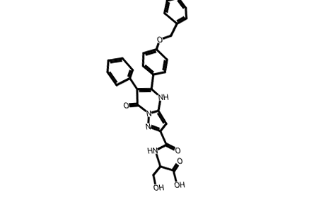 O=C(NC(CO)C(=O)O)c1cc2[nH]c(-c3ccc(OCc4ccccc4)cc3)c(-c3ccccc3)c(=O)n2n1